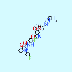 COc1cc2c(Oc3ccc(NC(=O)c4nn(-c5ccc(F)cc5)c5ccccc5c4=O)cc3F)ccnc2cc1OCCCN1CCN(C)CC1